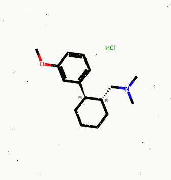 COc1cccc([C@@H]2CCCC[C@H]2CN(C)C)c1.Cl